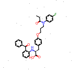 CCC(=O)N(CCCOc1ccc(C[C@H](Nc2ccccc2C(=O)c2ccccc2)C(=O)O)cc1)c1ccc(F)cc1